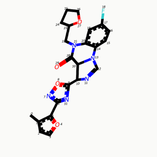 Cc1ccoc1-c1noc(C2N=CN3c4ccc(F)cc4N(CC4CCCO4)C(=O)C23)n1